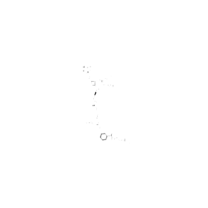 CSS[C@@H](CSC(C)=O)OC1C(BC#CCNC(=O)COCCOC(COc2cccc(C(=O)NCCN)c2)SSC(C)(C)C)OC1COC(C)(C)P(=O)(O)O